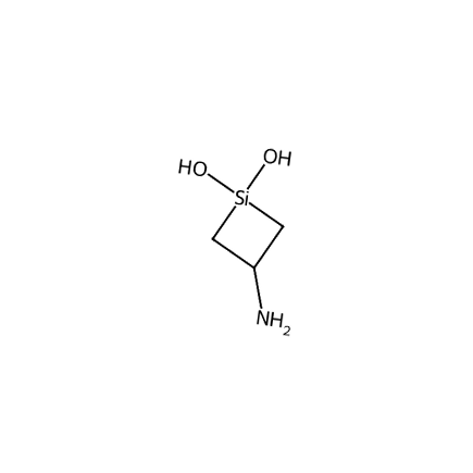 NC1C[Si](O)(O)C1